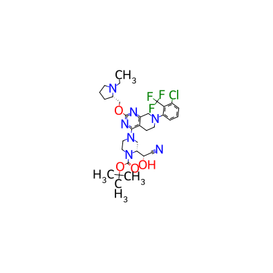 CCN1CCC[C@H]1COc1nc2c(c(N3CCN(C(=O)OC(C)(C)C)[C@@H]([C@@H](O)C#N)C3)n1)CCN(c1cccc(Cl)c1C(F)(F)F)C2